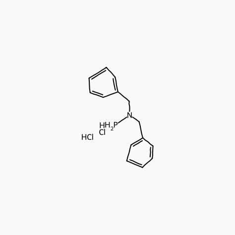 Cl.Cl.PN(Cc1ccccc1)Cc1ccccc1